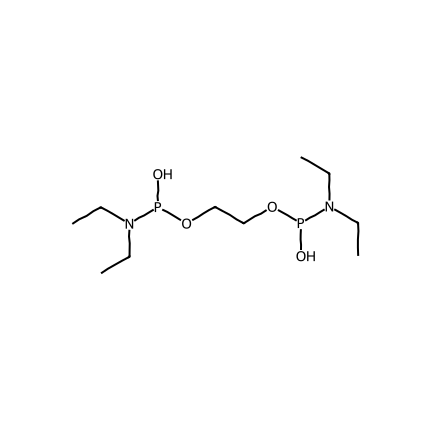 CCN(CC)P(O)OCCOP(O)N(CC)CC